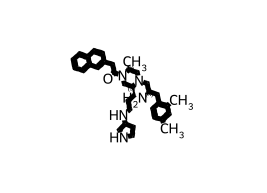 Cc1ccc(C[C@@H](N)CN2C[C@@H](C)N(C(=O)Cc3ccc4ccccc4c3)C[C@@H]2CCCNC2CCNC2)c(C)c1